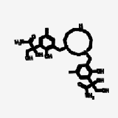 Cc1cc(CN2CCCNCCCN(Cc3cc(C)cc(C(O)(CO)C(N)=O)c3O)CC2)c(O)c(C(O)(CO)C(N)=O)c1